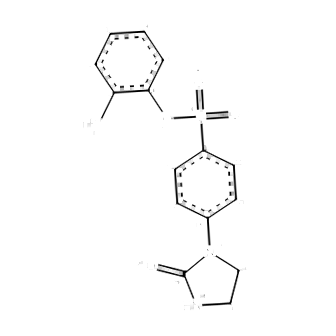 CCCc1ccccc1OS(=O)(=O)c1ccc(N2CCNC2=O)cc1